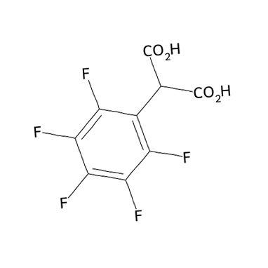 O=C(O)C(C(=O)O)c1c(F)c(F)c(F)c(F)c1F